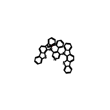 N#Cc1ccccc1-c1c(-n2c3ccccc3c3ccc4c5ccccc5sc4c32)cncc1-n1c2ccccc2c2ccc3c4ccccc4sc3c21